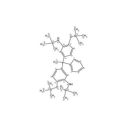 CC(c1ccccc1)(c1ccc(O[Si](C)(C)C)c(N[Si](C)(C)C)c1)c1ccc(O[Si](C)(C)C)c(N[Si](C)(C)C)c1